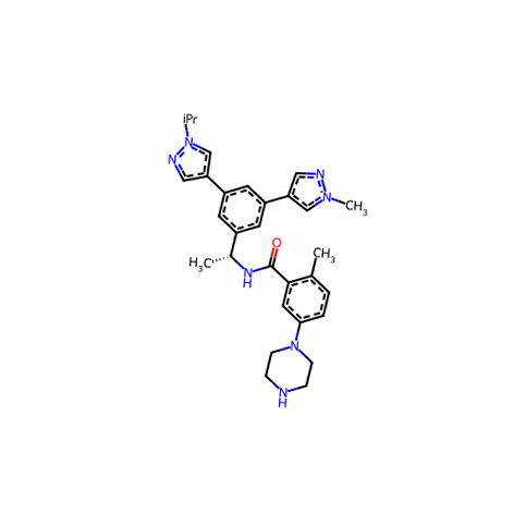 Cc1ccc(N2CCNCC2)cc1C(=O)N[C@H](C)c1cc(-c2cnn(C)c2)cc(-c2cnn(C(C)C)c2)c1